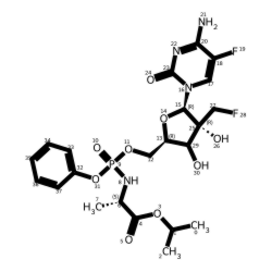 CC(C)OC(=O)[C@H](C)NP(=O)(OC[C@H]1O[C@@H](n2cc(F)c(N)nc2=O)[C@@](O)(CF)C1O)Oc1ccccc1